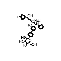 O=C1N[C@H](CCCC(O)c2ccc(F)cc2)[C@@H](c2ccc(-c3ccc([C@@H]4O[C@H](CO)[C@@H](O)[C@H](O)[C@H]4O)cc3)cc2O)N1c1ccccc1